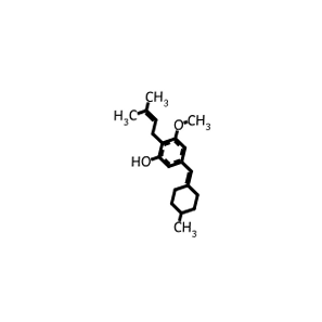 COc1cc(C=C2CCC(C)CC2)cc(O)c1CC=C(C)C